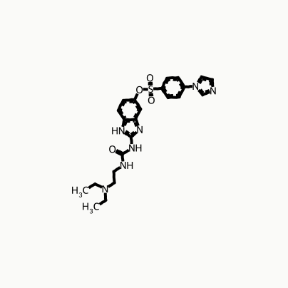 CCN(CC)CCNC(=O)Nc1nc2cc(OS(=O)(=O)c3ccc(-n4ccnc4)cc3)ccc2[nH]1